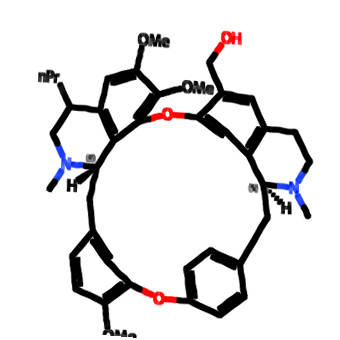 CCCC1CN(C)[C@H]2Cc3ccc(OC)c(c3)Oc3ccc(cc3)C[C@H]3c4cc(c(CO)cc4CCN3C)Oc3c(OC)c(OC)cc1c32